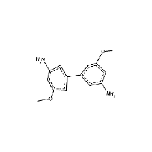 COc1cc(N)cc(-c2cc(N)cc(OC)c2)c1